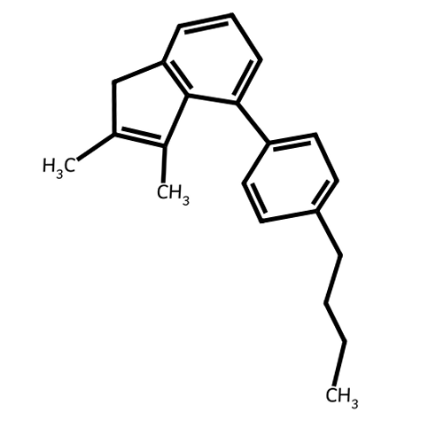 CCCCc1ccc(-c2cccc3c2C(C)=C(C)C3)cc1